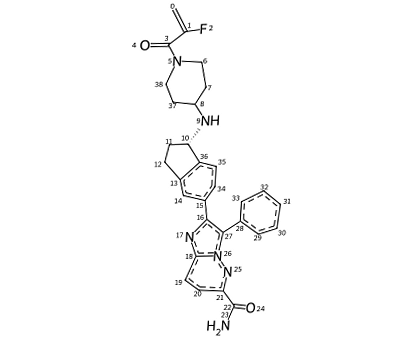 C=C(F)C(=O)N1CCC(N[C@H]2CCc3cc(-c4nc5ccc(C(N)=O)nn5c4-c4ccccc4)ccc32)CC1